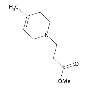 COC(=O)CCN1CC=C(C)CC1